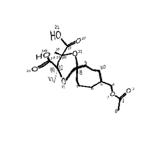 CC(=O)OCC1CCC2(CC1)O[C@@](C)(C(=O)O)[C@](C)(C(=O)O)O2